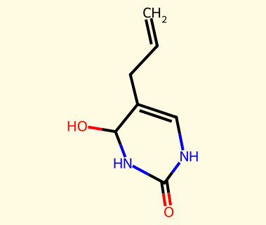 C=CCC1=CNC(=O)NC1O